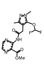 COC(=O)c1nccnc1NC(=O)Cc1c(C)nn(C)c1OC(F)F